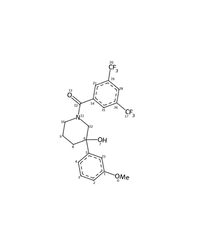 COc1cccc(C2(O)CCCN(C(=O)c3cc(C(F)(F)F)cc(C(F)(F)F)c3)C2)c1